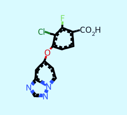 O=C(O)c1ccc(Oc2ccn3ncnc3c2)c(Cl)c1F